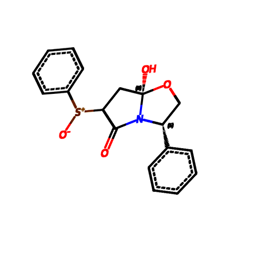 O=C1C([S+]([O-])c2ccccc2)C[C@@]2(O)OC[C@H](c3ccccc3)N12